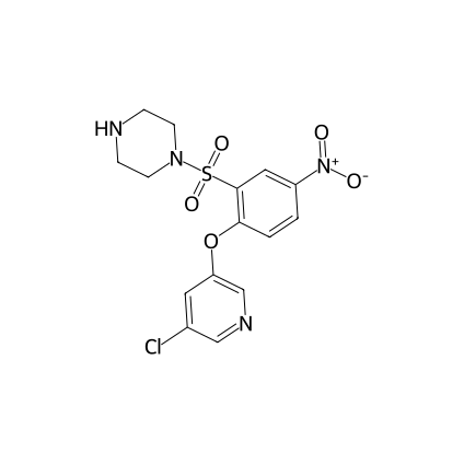 O=[N+]([O-])c1ccc(Oc2cncc(Cl)c2)c(S(=O)(=O)N2CCNCC2)c1